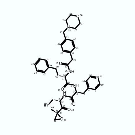 CC(C)C[C@H](NC(=O)[C@H](Cc1ccncc1)NC(=O)[C@H](CCc1ccccc1)NC(=O)Cc1ccc(CN2CCOCC2)cc1)C(=O)[C@@]1(C)CO1